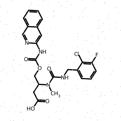 CN(C(=O)NCc1cccc(F)c1Cl)C(COC(=O)Nc1cc2ccccc2cn1)CC(=O)O